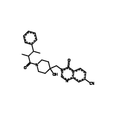 CC(C(=O)N1CCC(O)(Cn2cnc3cc(C#N)ccc3c2=O)CC1)C(C)c1ccccc1